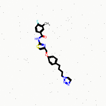 Cc1cc(C(=O)Nc2nc(COc3ccc(CCCCn4ccnn4)cc3)cs2)ccc1F